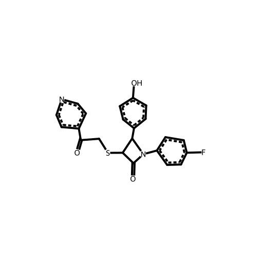 O=C(CSC1C(=O)N(c2ccc(F)cc2)C1c1ccc(O)cc1)c1ccncc1